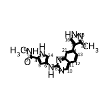 CNC(=O)c1cc(Nc2ncc3ccc(-c4c[nH]nc4C)cc3n2)c[nH]1